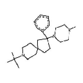 CN1CCN(C2(c3ccccc3)CCC3(CCN(C(C)(C)C)CC3)C2)CC1